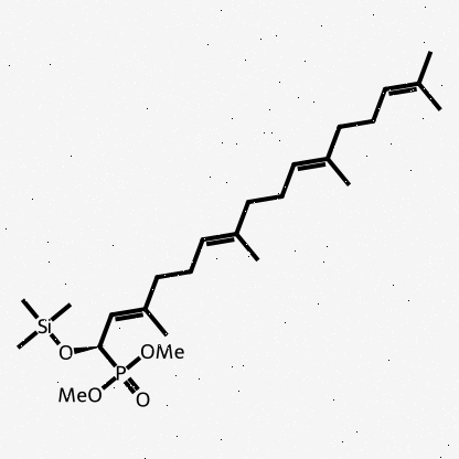 COP(=O)(OC)[C@H](/C=C(\C)CC/C=C(\C)CC/C=C(\C)CCC=C(C)C)O[Si](C)(C)C